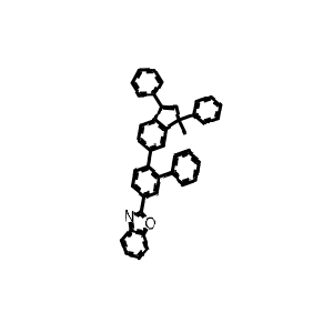 CC1(c2ccccc2)C=C(c2ccccc2)c2ccc(-c3ccc(-c4nc5ccccc5o4)cc3-c3ccccc3)cc21